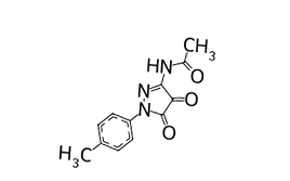 CC(=O)NC1=NN(c2ccc(C)cc2)C(=O)C1=O